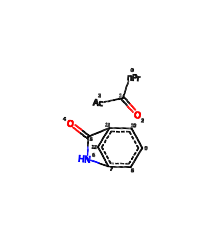 CCCC(=O)C(C)=O.O=C1Nc2cccc1c2